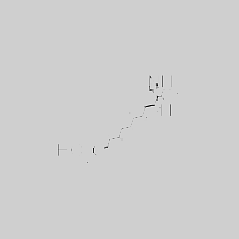 CC(/C=C/CCCCCCCC(=O)O)CN